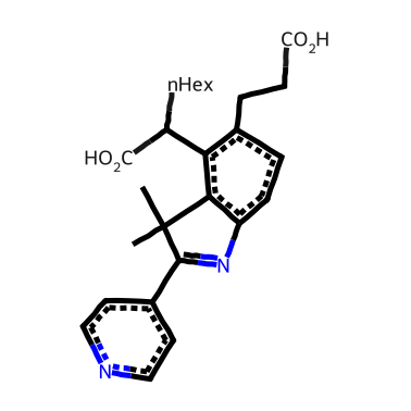 CCCCCCC(C(=O)O)c1c(CCC(=O)O)ccc2c1C(C)(C)C(c1ccncc1)=N2